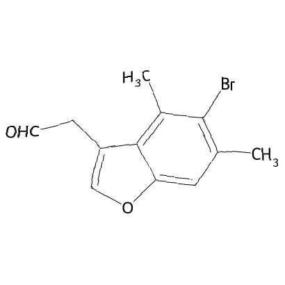 Cc1cc2occ(CC=O)c2c(C)c1Br